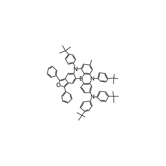 Cc1cc2c3c(c1)N(c1ccc(C(C)(C)C)cc1)c1cc4c(-c5ccccc5)oc(-c5ccccc5)c4cc1B3c1ccc(N(c3ccc(C(C)(C)C)cc3)c3ccc(C(C)(C)C)cc3)cc1N2c1ccc(C(C)(C)C)cc1